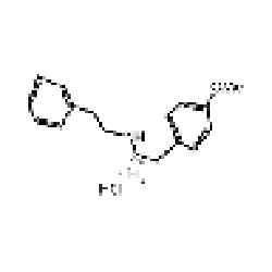 COc1ccc(C[C@H](C)NCCc2ccccc2)cc1.Cl